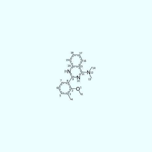 COc1c(C)cccc1-c1nc(N(C)C)c2ccccc2n1